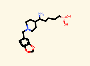 NC(CCCCB(O)O)C1CCN(Cc2ccc3c(c2)OCO3)CC1